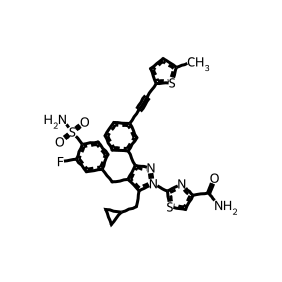 Cc1ccc(C#Cc2cccc(-c3nn(-c4nc(C(N)=O)cs4)c(CC4CC4)c3Cc3ccc(S(N)(=O)=O)c(F)c3)c2)s1